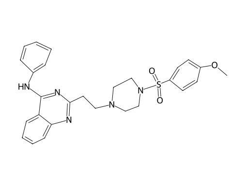 COc1ccc(S(=O)(=O)N2CCN(CCc3nc(Nc4ccccc4)c4ccccc4n3)CC2)cc1